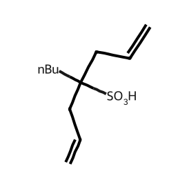 C=CCC(CC=C)(CCCC)S(=O)(=O)O